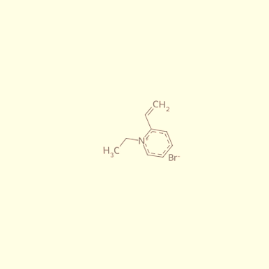 C=Cc1cccc[n+]1CC.[Br-]